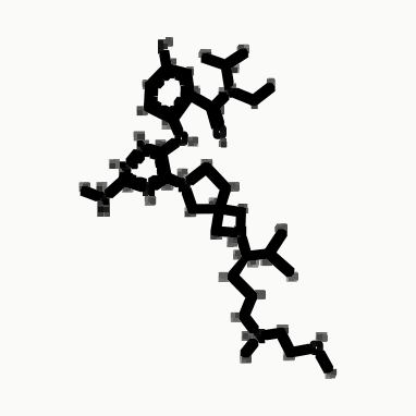 CCN(C(=O)c1cc(F)ccc1Oc1nnc(NC)nc1N1CCC2(C1)CN([C@H](CCCN(C)CCOC)C(C)C)C2)C(C)C